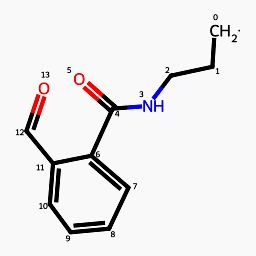 [CH2]CCNC(=O)c1ccccc1C=O